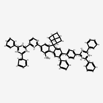 CC(C)(C)c1cc(-c2nccc(-c3nc(-c4ccccc4)nc(-c4ccccc4)n3)n2)cc2c1-c1cc(-c3ccccc3)c(-c3ccc(-c4nc(-c5ccccc5)nc(-c5ccccc5)n4)cc3)cc1C21C2CC3CC4CC1C342